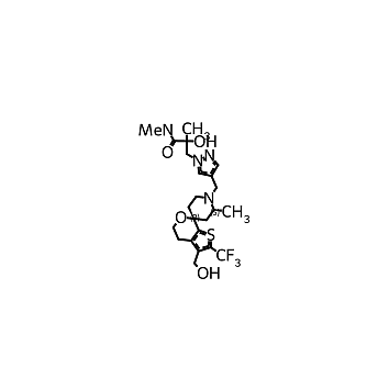 CNC(=O)C(C)(O)Cn1cc(CN2CC[C@]3(C[C@@H]2C)OCCc2c3sc(C(F)(F)F)c2CO)cn1